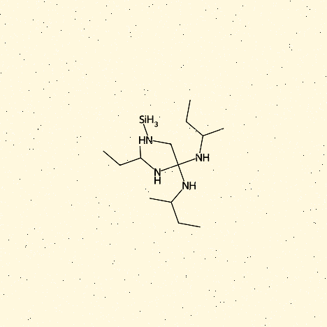 CCC(C)NC(CN[SiH3])(NC(C)CC)NC(C)CC